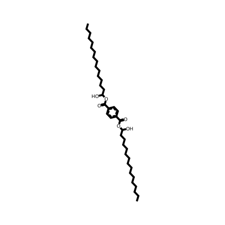 CCCCCCCCCCCCCCCC(O)OC(=O)c1ccc(C(=O)OC(O)CCCCCCCCCCCCCCC)cc1